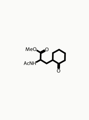 COC(=O)C(CC1CCCCC1=O)NC(C)=O